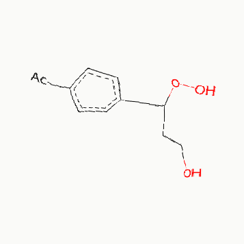 CC(=O)c1ccc(C(CCO)OO)cc1